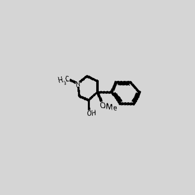 COC1(c2ccccc2)CCN(C)CC1O